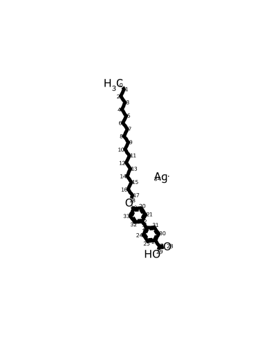 CCCCCCCCCCCCCCCCCCOc1ccc(-c2ccc(C(=O)O)cc2)cc1.[Ag]